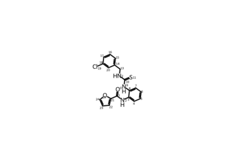 O=C(Nc1ccccc1NC(=S)NCc1cccc(Cl)c1)c1ccco1